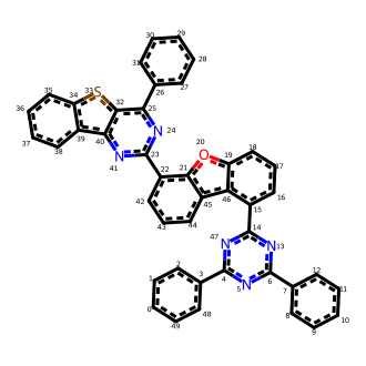 c1ccc(-c2nc(-c3ccccc3)nc(-c3cccc4oc5c(-c6nc(-c7ccccc7)c7sc8ccccc8c7n6)cccc5c34)n2)cc1